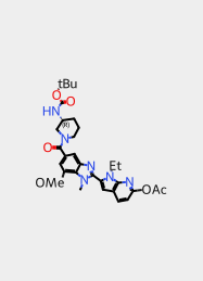 CCn1c(-c2nc3cc(C(=O)N4CCC[C@@H](NC(=O)OC(C)(C)C)C4)cc(OC)c3n2C)cc2ccc(OC(C)=O)nc21